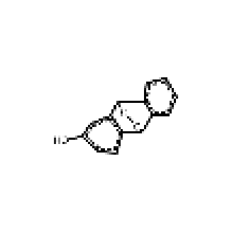 Oc1ccc2c(c1)C1CCC2c2ccccc21